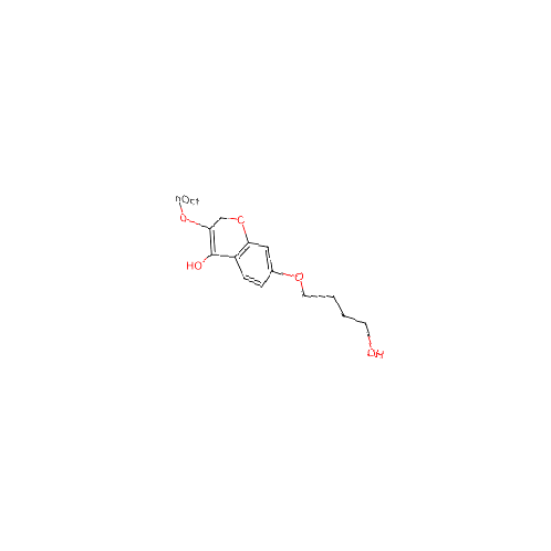 CCCCCCCCOC1=C(O)c2ccc(OCCCCO)cc2OC1